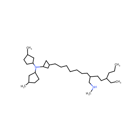 CCCC(CC)CCC(CCCCCCCC1CC(N(C2CCC(C)C2)C2CCC(C)C2)C1)CNC